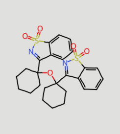 O=S1(=O)N=C(C2(OC3(C4=NS(=O)(=O)c5ccccc54)CCCCC3)CCCCC2)c2ccccc21